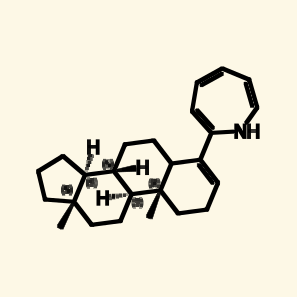 C[C@@]12CCC[C@H]1[C@@H]1CCC3C(C4=CC=CC=CN4)=CCC[C@]3(C)[C@H]1CC2